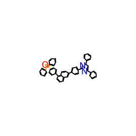 O=P(c1ccccc1)(c1ccccc1)c1ccc(-c2cccc3cc(-c4ccc(-c5nc(-c6ccccc6)cc(-c6ccccc6)n5)cc4)ccc23)cc1